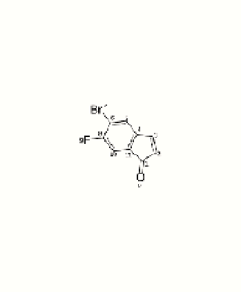 O=C1C=Cc2cc(Br)c(F)cc21